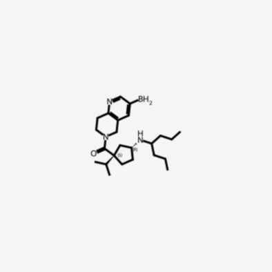 Bc1cnc2c(c1)CN(C(=O)[C@@]1(C(C)C)CC[C@@H](NC(CCC)CCC)C1)CC2